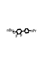 CCCCOc1ccc(-c2ccc(CCC)cc2)c(F)c1F